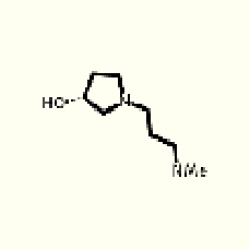 CNCCCN1CC[C@@H](O)C1